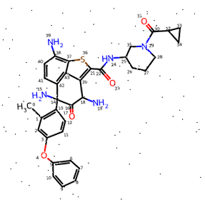 Cc1cc(Oc2ccccc2)ccc1C1(N)C(=O)C(N)c2c(C(=O)NC3CCCN(C(=O)C4CC4)C3)sc3c(N)ccc1c23